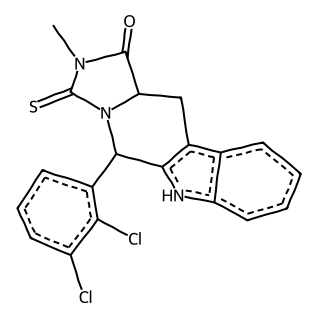 CN1C(=O)C2Cc3c([nH]c4ccccc34)C(c3cccc(Cl)c3Cl)N2C1=S